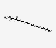 CNC(=O)CNC(=O)CSCCOCCOCCOCCOCCSCC=O